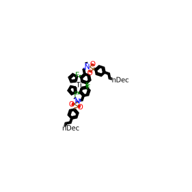 CCCCCCCCCCCCc1ccc(S(=O)(=O)N(C)Cc2ccc(F)[c]([Ti]([C]3=CC=CC3)([C]3=CC=CC3)[c]3c(F)ccc(CN(C)S(=O)(=O)c4ccc(CCCCCCCCCCCC)cc4)c3F)c2F)cc1